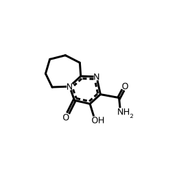 NC(=O)c1nc2n(c(=O)c1O)CCCCC2